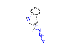 C=Nc1ccccc1/C=C(\C)C(C)N=[N+]=[N-]